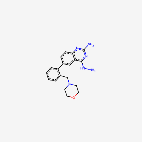 NNc1nc(N)nc2ccc(-c3ccccc3CN3CCOCC3)cc12